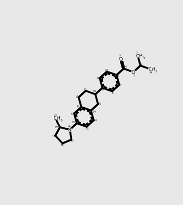 CC(C)OC(=O)c1ccc(C2CCc3cc(N4CCCC4C)ccc3C2)cc1